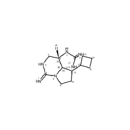 N=C1N[C@H]2CNC(=N)N3CCC(C4CCC4)[C@]23N1